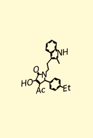 CCc1ccc(C2C(C(C)=O)=C(O)C(=O)N2CCc2c(C)[nH]c3ccccc23)cc1